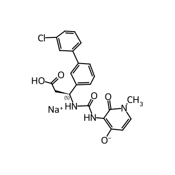 Cn1ccc([O-])c(NC(=O)N[C@@H](CC(=O)O)c2cccc(-c3cccc(Cl)c3)c2)c1=O.[Na+]